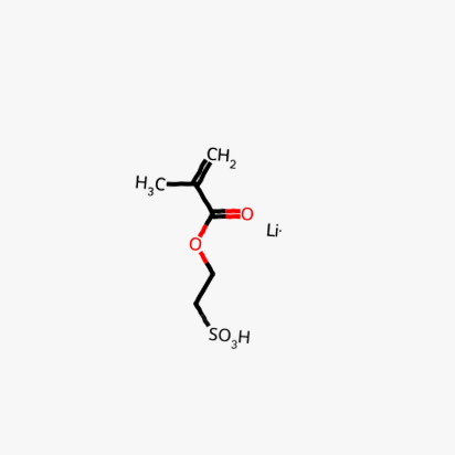 C=C(C)C(=O)OCCS(=O)(=O)O.[Li]